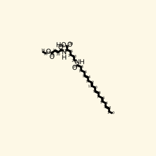 CCC=CCC=CCC=CCC=CCC=CCCCC(=O)NCCCCC(NC(=O)C=CC(=O)OCC)C(=O)O